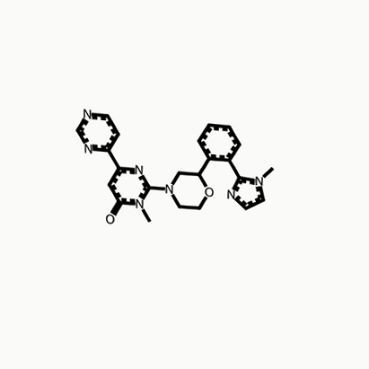 Cn1ccnc1-c1ccccc1C1CN(c2nc(-c3ccncn3)cc(=O)n2C)CCO1